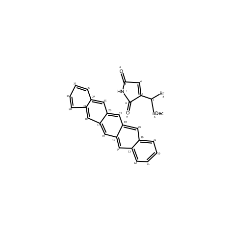 CCCCCCCCCCC(Br)C1=CC(=O)NC1=O.c1ccc2cc3cc4cc5ccccc5cc4cc3cc2c1